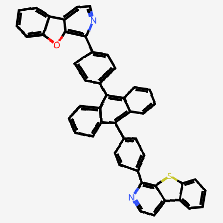 c1ccc2c(c1)oc1c(-c3ccc(-c4c5ccccc5c(-c5ccc(-c6nccc7c6sc6ccccc67)cc5)c5ccccc45)cc3)nccc12